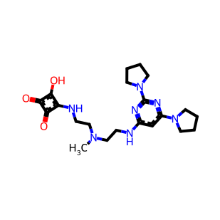 CN(CCNc1cc(N2CCCC2)nc(N2CCCC2)n1)CCNc1c(O)c(=O)c1=O